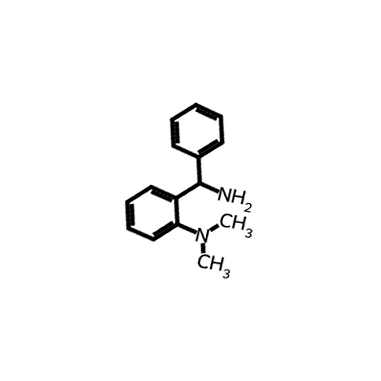 CN(C)c1ccccc1C(N)c1ccccc1